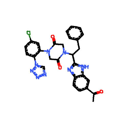 CC(=O)c1ccc2nc(C(Cc3ccccc3)N3CC(=O)N(c4cc(Cl)ccc4-n4cnnn4)CC3=O)[nH]c2c1